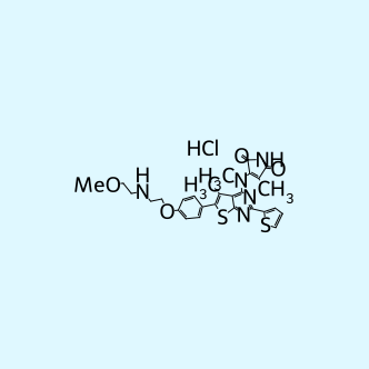 COCCNCCOc1ccc(-c2sc3nc(-c4cccs4)nc(N(C)C4=C(C)C(=O)NC4=O)c3c2C)cc1.Cl